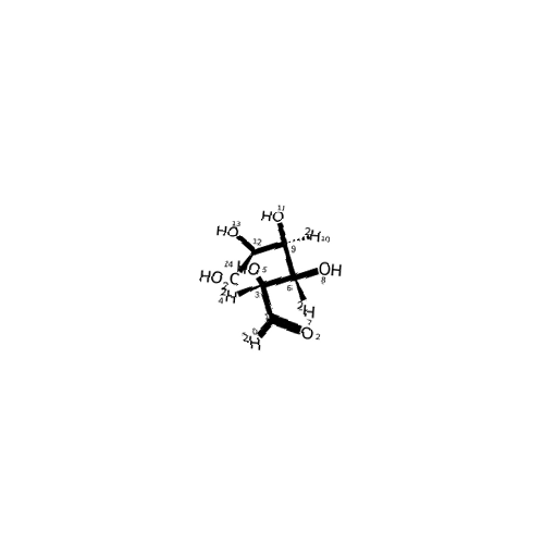 [2H]C(=O)[C@]([2H])(O)[C@@]([2H])(O)[C@]([2H])(O)[C@H](O)C(=O)O